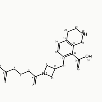 C=C(C)CCCC(=C)N1CC(Cc2ccc3c(c2C(=C)O)CBCC3)C1